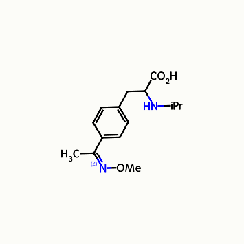 CO/N=C(/C)c1ccc(CC(NC(C)C)C(=O)O)cc1